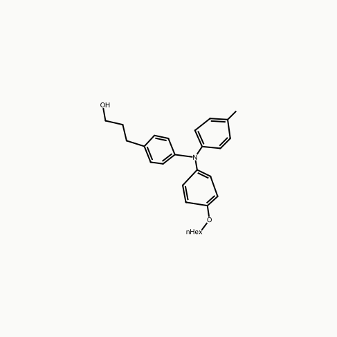 CCCCCCOc1ccc(N(c2ccc(C)cc2)c2ccc(CCCO)cc2)cc1